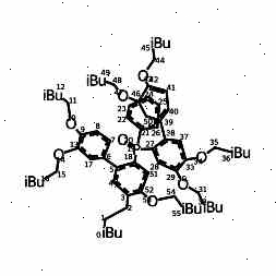 CCC(C)CCc1cc(-c2ccc(OCC(C)CC)c(OCC(C)CC)c2)c(P(=O)(c2ccccc2)c2cc(OCC(C)CC)c(OCC(C)CC)cc2C2=CC=C(OCC(C)CC)C(OCC(C)CC)C2)cc1OCC(C)CC